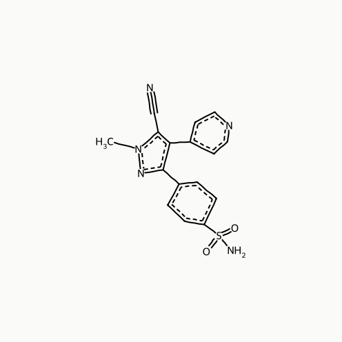 Cn1nc(-c2ccc(S(N)(=O)=O)cc2)c(-c2ccncc2)c1C#N